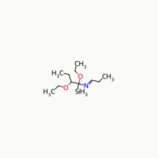 CCC=NC([SiH3])(OCC)C(CC)OCC